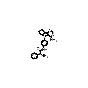 Nc1ncnc2c3c(n(-c4ccc(NC(=O)C(N)c5ccccc5)cc4)c12)CCC3